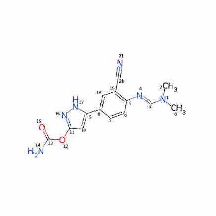 CN(C)/C=N/c1ccc(-c2cc(OC(N)=O)n[nH]2)cc1C#N